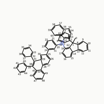 CC1(c2ccccc2)c2ccccc2-c2cccc(N(c3cccc(-c4ccc5c(c4)c(-c4ccccc4)c(-c4ccccc4)c4ccccc45)c3)c3cccc4ccccc34)c21